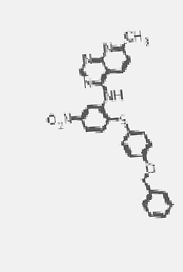 Cc1ccc2c(Nc3cc([N+](=O)[O-])ccc3Sc3ccc(OCc4ccccc4)cc3)ncnc2n1